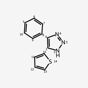 c1c[nH]nn1.c1ccccc1.c1ccsc1